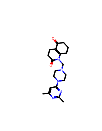 Cc1cc(N2CCN(CN3C(=O)CCC4=C3CCCC4=O)CC2)nc(C)n1